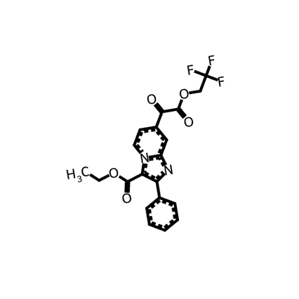 CCOC(=O)c1c(-c2ccccc2)nc2cc(C(=O)C(=O)OCC(F)(F)F)ccn12